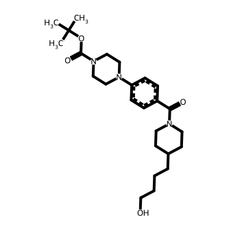 CC(C)(C)OC(=O)N1CCN(c2ccc(C(=O)N3CCC(CCCCO)CC3)cc2)CC1